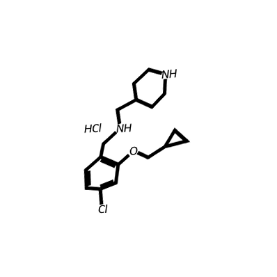 Cl.Clc1ccc(CNCC2CCNCC2)c(OCC2CC2)c1